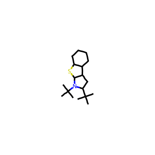 CC(C)(C)C1CC2C3CCCCC3SC2N1C(C)(C)C